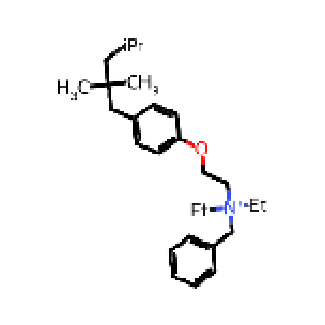 CC[N+](CC)(CCOc1ccc(CC(C)(C)CC(C)C)cc1)Cc1ccccc1